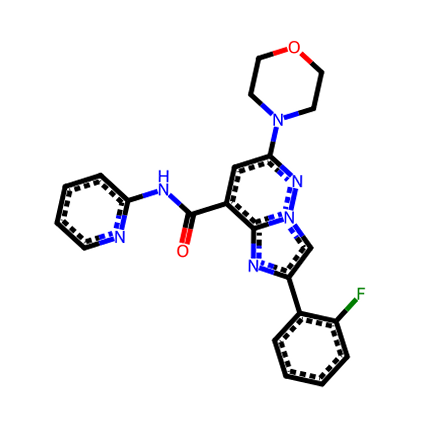 O=C(Nc1ccccn1)c1cc(N2CCOCC2)nn2cc(-c3ccccc3F)nc12